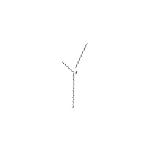 CCCCCCCCCCCCCCCCCCCN1C=CN(CCCCCCCCCCCCCCCCC)C1CCCCCCCCC